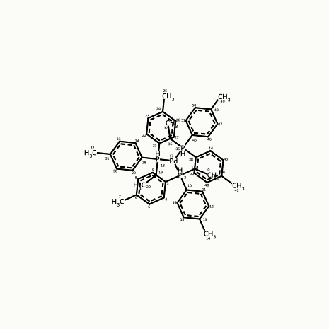 CC[PH](c1ccc(C)cc1)(c1ccc(C)cc1)[Pd]([PH](CC)(c1ccc(C)cc1)c1ccc(C)cc1)[PH](CC)(c1ccc(C)cc1)c1ccc(C)cc1